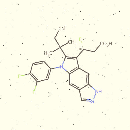 CC(C)(CC#N)c1c([C@H](F)CC(=O)O)c2cc3[nH]ncc3cc2n1-c1ccc(F)c(F)c1